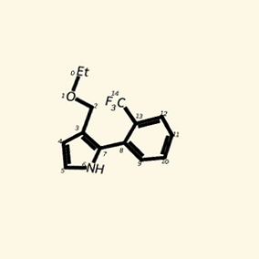 CCOCc1cc[nH]c1-c1ccccc1C(F)(F)F